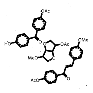 CC(=O)Oc1ccc(C(=O)c2ccc(O)cc2)cc1.COC1COC2C(OC(C)=O)COC12.COc1ccc(/C=C/C(=O)c2ccc(OC(C)=O)cc2)cc1